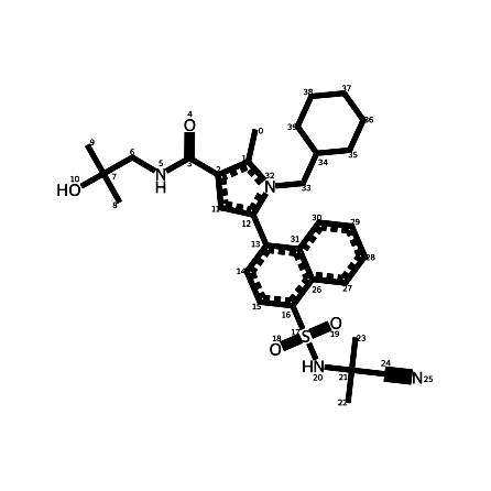 Cc1c(C(=O)NCC(C)(C)O)cc(-c2ccc(S(=O)(=O)NC(C)(C)C#N)c3ccccc23)n1CC1CCCCC1